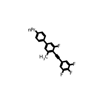 CCCc1ccc(-c2cc(C)c(C#Cc3cc(F)c(F)c(F)c3)c(F)c2)cc1